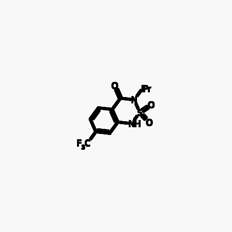 CC(C)N1C(=O)c2ccc(C(F)(F)F)cc2NS1(=O)=O